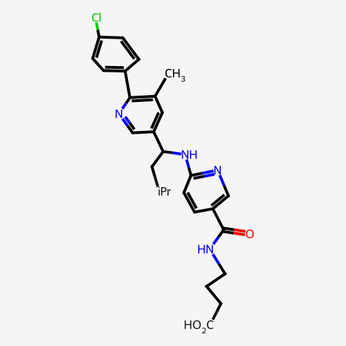 Cc1cc(C(CC(C)C)Nc2ccc(C(=O)NCCCC(=O)O)cn2)cnc1-c1ccc(Cl)cc1